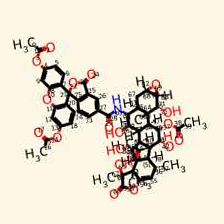 CC(=O)Oc1ccc2c(c1)Oc1cc(OC(C)=O)ccc1C21OC(=O)c2cc(C(=O)N[C@@H]3[C@H](O)[C@@H]4[C@H]([C@H](OC(C)=O)[C@H](O)[C@]5(C(C)=O)[C@@H]6[C@@H]([C@H](O)[C@@H]45)[C@]4(C)C(=C[C@H]6C)OC(=O)[C@@]4(C)O)[C@]4(C)[C@@H]3C[C@@H]3O[C@@H]3[C@@H]4O)ccc21